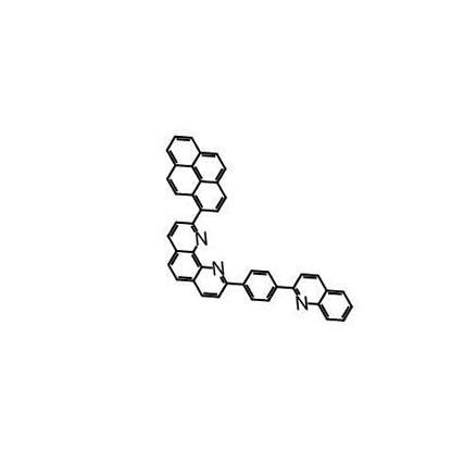 c1ccc2nc(-c3ccc(-c4ccc5ccc6ccc(-c7ccc8ccc9cccc%10ccc7c8c9%10)nc6c5n4)cc3)ccc2c1